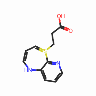 O=C(O)CCS1=CC=CNc2cccnc21